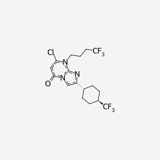 O=c1cc(Cl)n(CCCC(F)(F)F)c2nc([C@H]3CC[C@H](C(F)(F)F)CC3)cn12